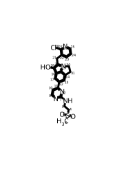 CS(=O)(=O)CCNc1nccc(-c2cc3c4c(c2)c(O)c(Cc2cccnc2Cl)n4CC3)n1